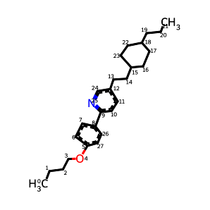 CCCCOc1ccc(-c2ccc(CCC3CCC(CCC)CC3)cn2)cc1